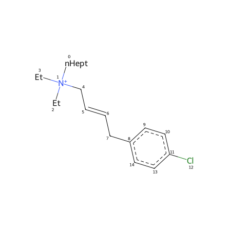 CCCCCCC[N+](CC)(CC)CC=CCc1ccc(Cl)cc1